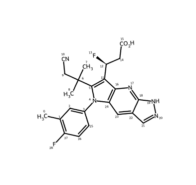 Cc1cc(-n2c(C(C)(C)CC#N)c([C@@H](F)CC(=O)O)c3nc4[nH]ncc4cc32)ccc1F